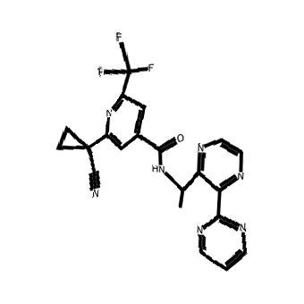 CC(NC(=O)c1cc(C(F)(F)F)nc(C2(C#N)CC2)c1)c1nccnc1-c1ncccn1